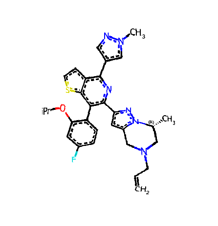 C=CCN1Cc2cc(-c3nc(-c4cnn(C)c4)c4ccsc4c3-c3ccc(F)cc3OC(C)C)nn2[C@H](C)C1